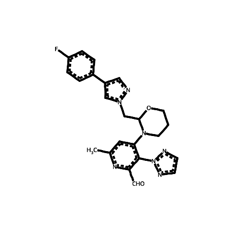 Cc1cc(N2CCCOC2Cn2cc(-c3ccc(F)cc3)cn2)c(-n2nccn2)c(C=O)n1